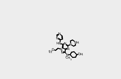 CCOCCn1nc(N(C)C2CCC(O)CC2)c2nc(N3CCNCC3)nc(Nc3ccncn3)c21